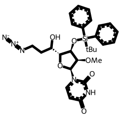 CO[C@@H]1[C@H](O[Si](c2ccccc2)(c2ccccc2)C(C)(C)C)[C@@H](C(O)CCN=[N+]=[N-])O[C@@H]1n1ccc(=O)[nH]c1=O